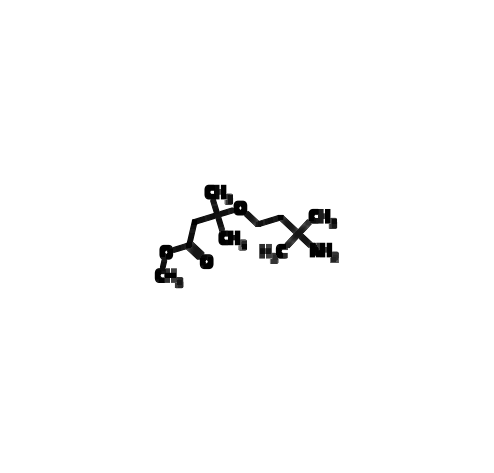 COC(=O)CC(C)(C)OCCC(C)(C)N